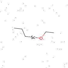 CC[CH2][Sc][O]CC